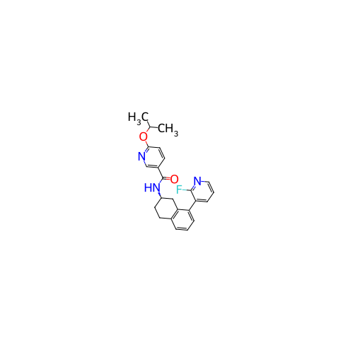 CC(C)Oc1ccc(C(=O)N[C@@H]2CCc3cccc(-c4cccnc4F)c3C2)cn1